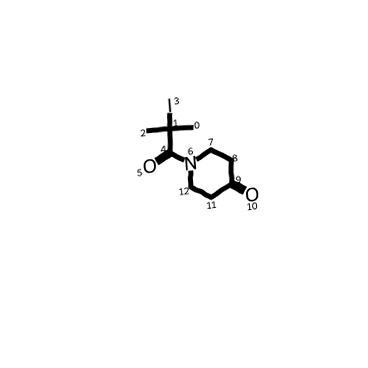 CC(C)(I)C(=O)N1CCC(=O)CC1